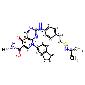 CNC(=O)c1cn(-c2ccc3c(c2)CCC3)c2nc(Nc3ccc(CCSNC(C)C)cc3)ncc2c1=O